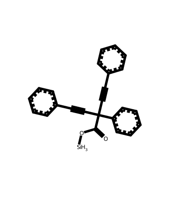 O=C(O[SiH3])C(C#Cc1ccccc1)(C#Cc1ccccc1)c1ccccc1